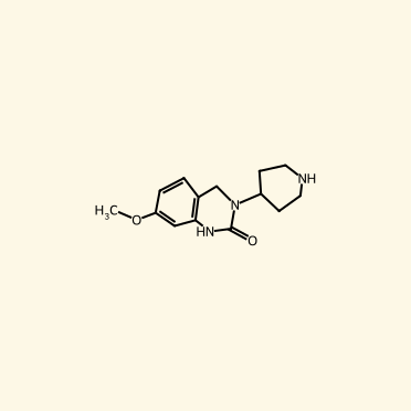 COc1ccc2c(c1)NC(=O)N(C1CCNCC1)C2